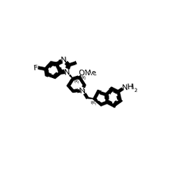 CO[C@@H]1CN(C[C@@H]2Cc3ccc(N)cc3C2)CC[C@H]1n1c(C)nc2cc(F)ccc21